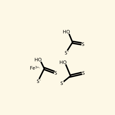 OC(=S)[S-].OC(=S)[S-].OC(=S)[S-].[Fe+3]